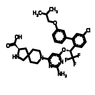 CC(C)COc1cccc(-c2cc(Cl)ccc2[C@@H](Oc2cc(N3CCC4(CC3)CN[C@H](C(=O)O)C4)nc(N)n2)C(F)(F)F)c1